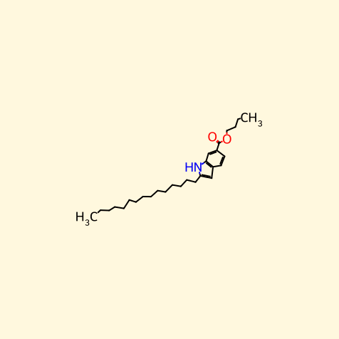 CCCCCCCCCCCCCCCc1cc2ccc(C(=O)OCCCC)cc2[nH]1